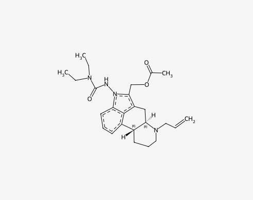 C=CCN1CCC[C@@H]2c3cccc4c3c(c(COC(C)=O)n4NC(=O)N(CC)CC)C[C@H]21